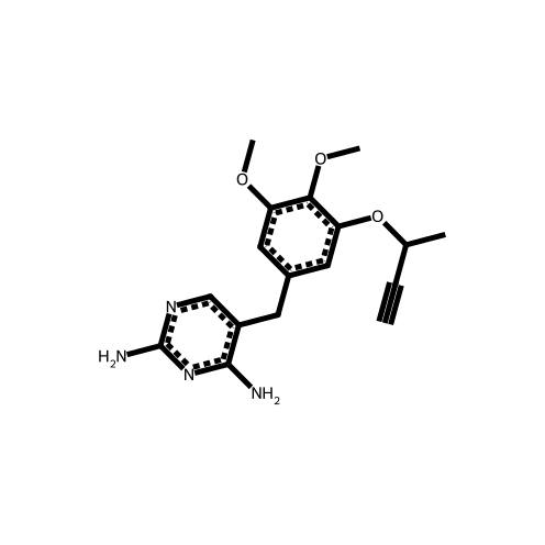 C#CC(C)Oc1cc(Cc2cnc(N)nc2N)cc(OC)c1OC